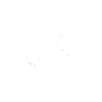 COc1cccc(CNc2nc(C)nc3[nH]cnc23)c1OC